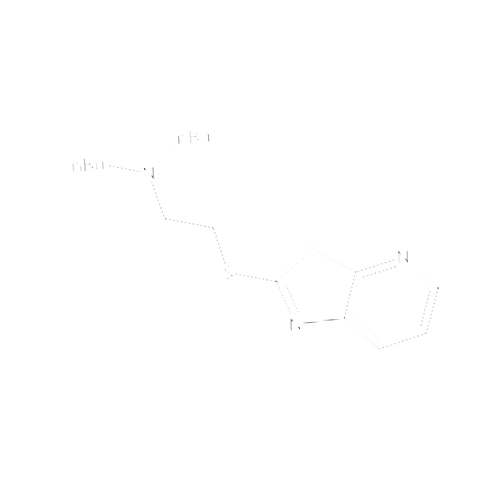 CCCCN(CCCC)CCSc1nc2cccnc2s1